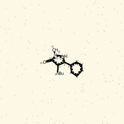 CCCCc1c(-c2ccccc2)[nH]n(C)c1=O